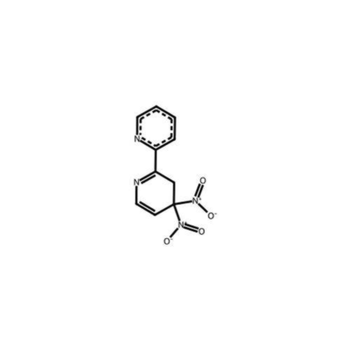 O=[N+]([O-])C1([N+](=O)[O-])C=CN=C(c2ccccn2)C1